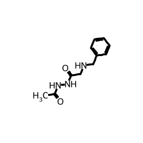 CC(=O)NNC(=O)CNCc1ccccc1